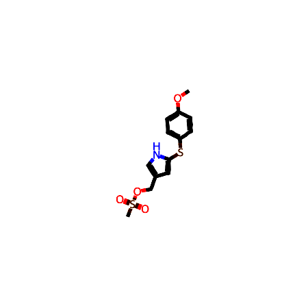 COc1ccc(Sc2cc(COS(C)(=O)=O)c[nH]2)cc1